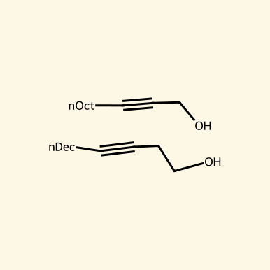 CCCCCCCCC#CCO.CCCCCCCCCCC#CCCO